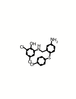 Nc1ccc(Sc2ccc(Cl)cc2)c(CNc2cc(Cl)cc(Cl)c2O)c1